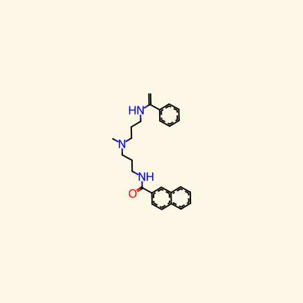 C=C(NCCCN(C)CCCNC(=O)c1ccc2ccccc2c1)c1ccccc1